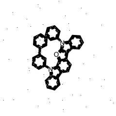 c1ccc(-c2cccc(-n3c4ccccc4c4ccc5c(oc6c5c5ccccc5n6-c5ccccc5)c43)c2)cc1